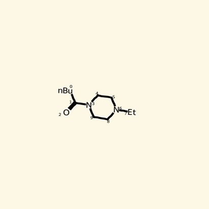 CCCCC(=O)N1CCN(CC)CC1